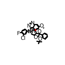 COc1cc2ncnc(Nc3ccc(F)c(Cl)c3)c2cc1OC(C(=O)OC(C)(C)C)(c1ccccc1)C1CCNCC1